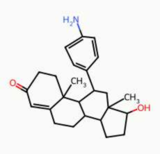 CC12CCC(=O)C=C1CCC1C2C(c2ccc(N)cc2)CC2(C)C(O)CCC12